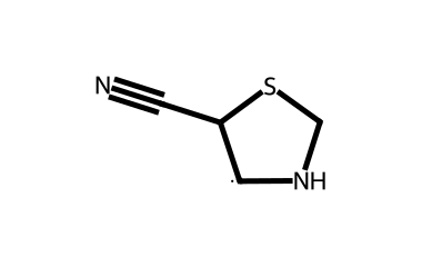 N#CC1[CH]NCS1